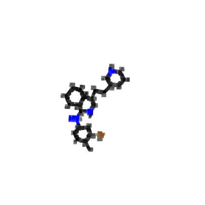 Cc1ccc(Nc2ncc(C=Cc3cccnc3)c3ccccc23)cc1Br